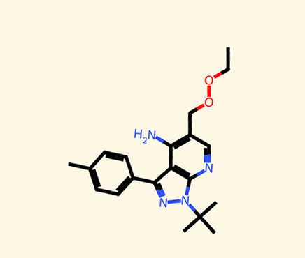 CCOOCc1cnc2c(c(-c3ccc(C)cc3)nn2C(C)(C)C)c1N